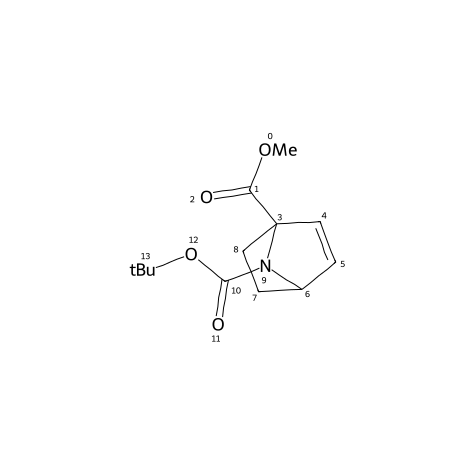 COC(=O)C12C=CC(CC1)N2C(=O)OC(C)(C)C